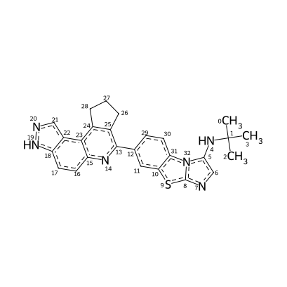 CC(C)(C)Nc1cnc2sc3cc(-c4nc5ccc6[nH]ncc6c5c5c4CCC5)ccc3n12